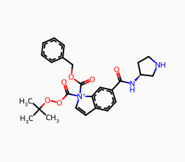 CC(C)(C)OOC(=O)[N+]1(C(=O)OCc2ccccc2)C=Cc2ccc(C(=O)N[C@H]3CCNC3)cc21